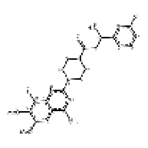 COc1cc2c(N)nc(N3CCN(C(=O)CC(N)c4cccc(Cl)c4)CC3)nc2c(F)c1OC